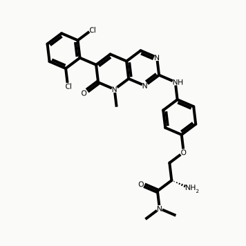 CN(C)C(=O)[C@@H](N)COc1ccc(Nc2ncc3cc(-c4c(Cl)cccc4Cl)c(=O)n(C)c3n2)cc1